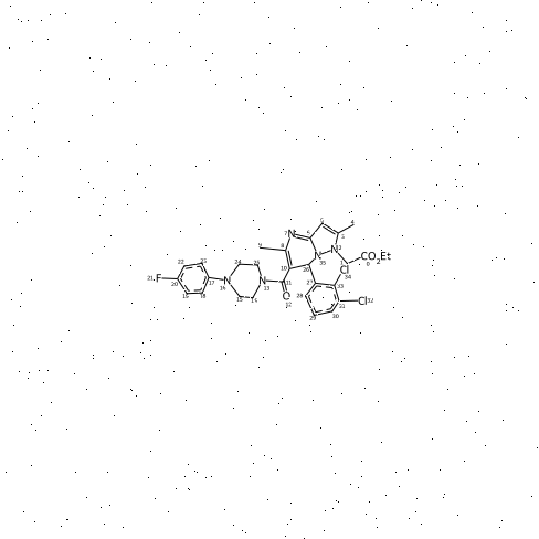 CCOC(=O)CN1C(C)=CC2=NC(C)=C(C(=O)N3CCN(c4ccc(F)cc4)CC3)C(c3cccc(Cl)c3Cl)N21